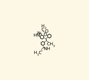 C=CC(=O)Oc1ccccc1/C(=C(\CC)c1cccc(C(=N)CCC)c1)c1ccc2[nH]ncc2c1